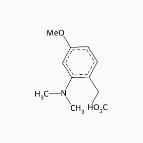 COc1ccc(CC(=O)O)c(N(C)C)c1